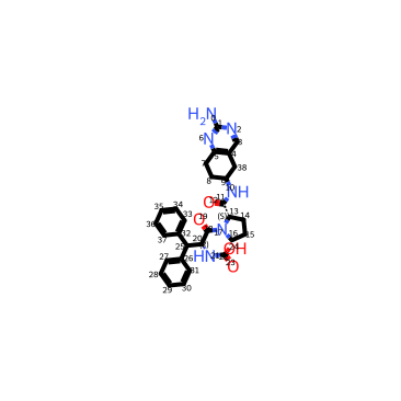 Nc1ncc2c(n1)CCC(NC(=O)[C@@H]1CCCN1C(=O)[C@H](NC(=O)O)C(c1ccccc1)c1ccccc1)C2